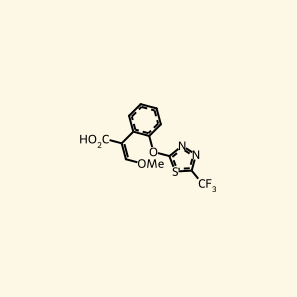 CO/C=C(/C(=O)O)c1ccccc1Oc1nnc(C(F)(F)F)s1